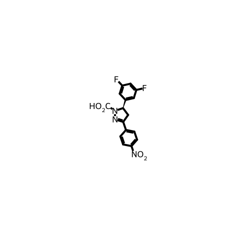 O=C(O)N1N=C(c2ccc([N+](=O)[O-])cc2)C[C@@H]1c1cc(F)cc(F)c1